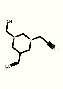 C#CCN1CC(C=C)CN(CC#N)C1